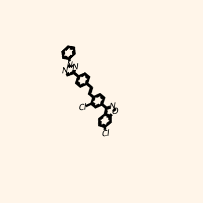 Clc1ccc2c(-c3ccc(C=Cc4ccc(-c5cnn(-c6ccccc6)n5)cc4)c(Cl)c3)noc2c1